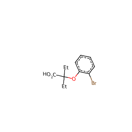 CCC(CC)(Oc1ccccc1Br)C(=O)O